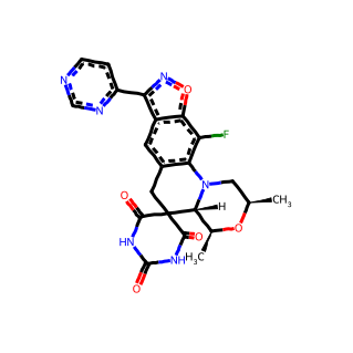 C[C@@H]1CN2c3c(cc4c(-c5ccncn5)noc4c3F)CC3(C(=O)NC(=O)NC3=O)[C@H]2[C@H](C)O1